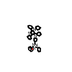 c1ccc(-c2nc(-c3ccc(-n4c5ccccc5c5c6c(c7ccccc7n6-c6ccccc6)c6sc7ccccc7c6c54)cc3)nc(C34CC5CC(CC(C5)C3)C4)n2)cc1